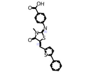 CN1C(=O)/C(=C/c2ccc(-c3ccccc3)s2)S/C1=N/c1ccc(C(=O)O)cc1